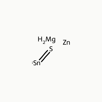 [MgH2].[S]=[Sn].[Zn]